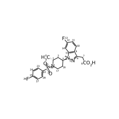 C[C@@H]1C[C@@H](n2nc(CC(=O)O)c3ccc(F)cc32)CCN1S(=O)(=O)c1ccc(F)cc1